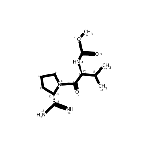 COC(=O)N[C@H](C(=O)N1CCC[C@H]1C(=N)N)C(C)C